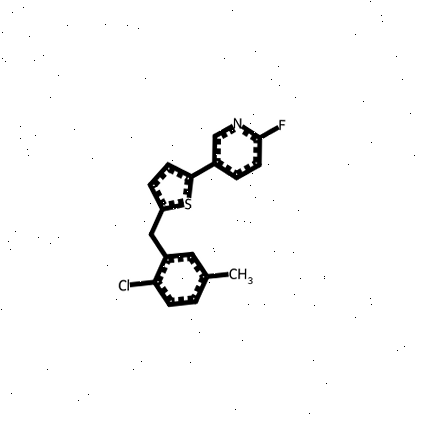 Cc1ccc(Cl)c(Cc2ccc(-c3ccc(F)nc3)s2)c1